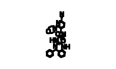 N#Cc1ccc(-c2nnc(N[C@H]3N=C(c4ccccc4)c4ccccc4NC3=O)o2)c(N2CCOCC2)n1